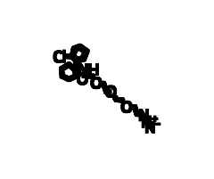 [N-]=[N+]=NCCOCCOCCOCCNC1(c2ccccc2Cl)CCCCC1=O